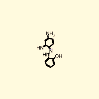 N=C1C=C(N)C=C/C1=N/Nc1ccccc1O